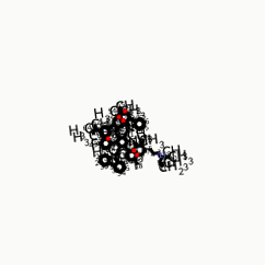 C=C/C(=C\CC[C@H]1CC=CC(Nc2c(-c3ccc(F)cc3)c(C(C)(C)n3c4ccccc4c4ccccc43)c(-c3ccc(F)cc3)c(-n3c4ccc(C(C)(C)C)cc4c4cc(C(C)(C)C)ccc43)c2C(C)(C)n2c3ccccc3c3ccccc32)=C1C)C(C)(C)C